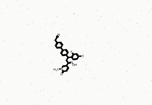 Cn1cc(/C(CC(c2ccc(-c3ccc(CC#N)cc3)cc2)c2ccc(Cl)cc2F)=N\O)ccc1=O